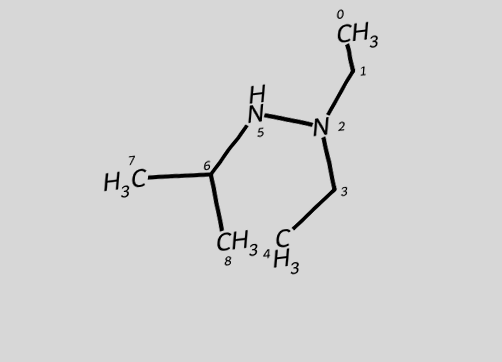 CCN(CC)NC(C)C